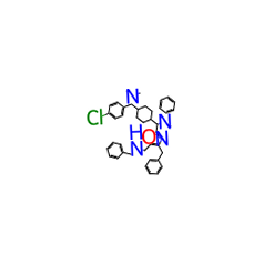 CN(C)C(c1ccc(Cl)cc1)C1CCC(C(c2nc(Cc3ccccc3)c(CNCc3ccccc3)o2)N(C)c2ccccc2)CC1